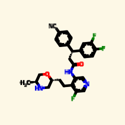 [CH2][C@H]1CO[C@H](CCc2c(F)cncc2NC(=O)C[C@H](c2ccc(C#N)cc2)c2ccc(F)c(F)c2)CN1